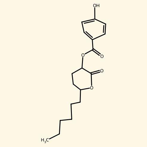 CCCCCCC1CCC(OC(=O)c2ccc(O)cc2)C(=O)O1